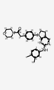 Cc1ccc(Nc2ncc3c(n2)N(c2ccc(CC(=O)N4CCOCC4)cc2)CC3)cc1C